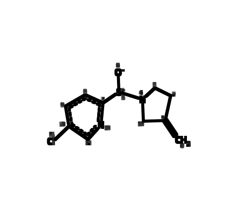 C=C1CCN([S+]([O-])c2ccc(Cl)cn2)C1